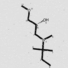 CCC(C)(C)N(C)C[C@@H](O)COC